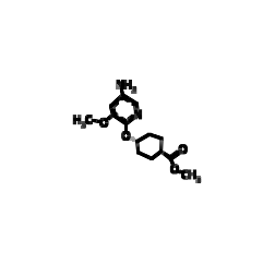 COc1cc(N)cnc1O[C@H]1CC[C@H](C(=O)OC)CC1